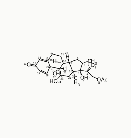 CC(=O)OCC(=O)[C@@]1(O)C(C)C[C@H]2[C@@H]3CCC4=CC(=O)C=C[C@]4(C)[C@@]3(Cl)C(O)C[C@@]21C